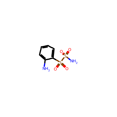 Nc1ccccc1S(=O)(=O)S(N)(=O)=O